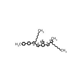 CCCCCCCCc1cc(C)sc1-c1ccc(-c2ccc(-c3ccc(-c4sc(-c5ccc(-c6ccc(C)cc6)cc5)cc4CCCCCCCC)s3)c3nscc23)s1